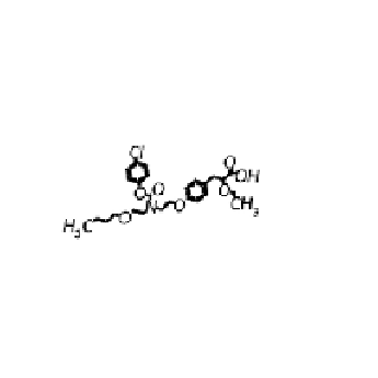 CCCCOCCN(CCOc1ccc(CC(OCC)C(=O)O)cc1)C(=O)Oc1ccc(Cl)cc1